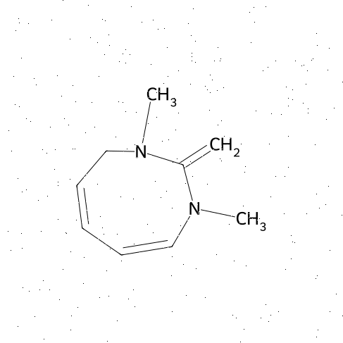 C=C1N(C)/C=C\C=C/CN1C